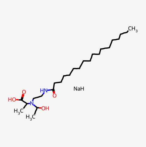 CCCCCCCCCCCCCCCCCC(=O)NCCN(C(C)O)C(C)C(=O)O.[NaH]